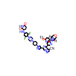 CCOc1ccc(CN2[C@@H]3COC[C@H]2CN(c2ccc(-c4nc(-c5cnn(C6CCC(N7CCN(c8c(F)cc(NC9CCC(=O)NC9=O)cc8F)CC7)CC6)c5)cn5ncc(C#N)c45)cn2)C3)cn1